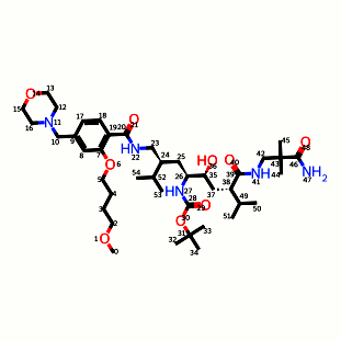 COCCCCOc1cc(CN2CCOCC2)ccc1C(=O)NC[C@@H](C[C@H](NC(=O)OC(C)(C)C)[C@@H](O)C[C@H](C(=O)NCC(C)(C)C(N)=O)C(C)C)C(C)C